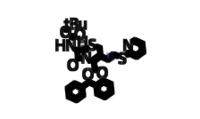 CC(C)(C)OC(=O)NC1C(=O)N2C(C(=O)OC(c3ccccc3)c3ccccc3)=C(/C=C/Sc3ccccn3)CS[C@H]12